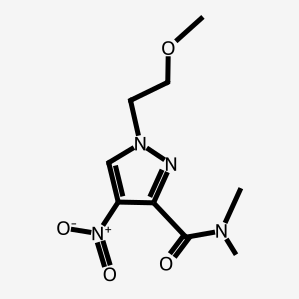 COCCn1cc([N+](=O)[O-])c(C(=O)N(C)C)n1